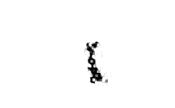 COC(=O)C[C@H](NC(=O)c1ccc(-c2c(C)oc3c(CC(C)C)c(O)c(O)c(O)c3c2=O)cc1)C(=O)OC